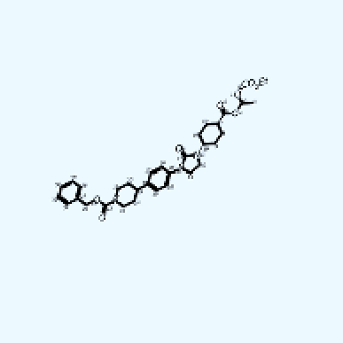 CCOC(=O)OC(C)OC(=O)[C@H]1CC[C@H](N2CCN(c3ccc(C4CCN(C(=O)OCc5ccccc5)CC4)cc3)C2=O)CC1